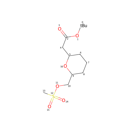 CC(C)(C)OC(=O)CC1CCCC(COS(C)(=O)=O)O1